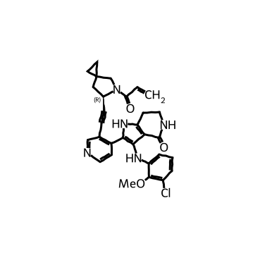 C=CC(=O)N1CC2(CC2)C[C@@H]1C#Cc1cnccc1-c1[nH]c2c(c1Nc1cccc(Cl)c1OC)C(=O)NCC2